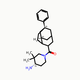 CC1(C)CN(C(=O)C2CC3C[C@]4(c5ccccc5)CCC2[C@](C)(C3)C4)CC[C@@H]1N